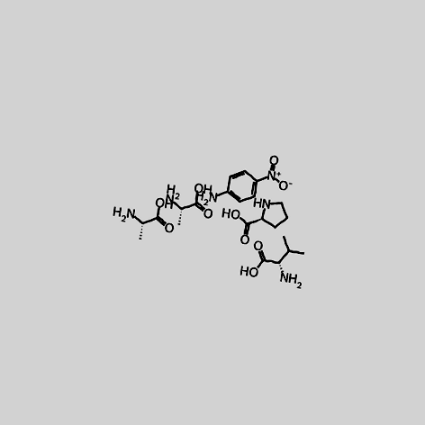 CC(C)[C@H](N)C(=O)O.C[C@H](N)C(=O)O.C[C@H](N)C(=O)O.Nc1ccc([N+](=O)[O-])cc1.O=C(O)[C@@H]1CCCN1